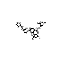 Cc1nn(C)cc1SNC(=O)c1ccc(-n2ccc(OCC3CCCC3)n2)nc1N1C[C@@H](C)CC1(C)C